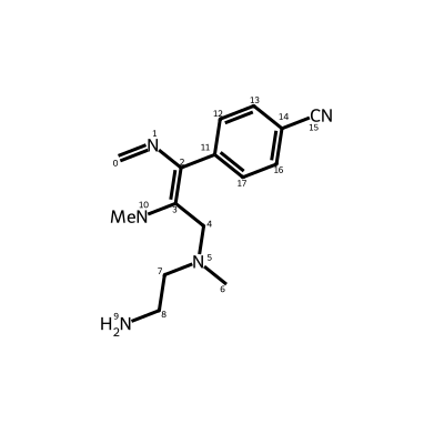 C=N/C(=C(/CN(C)CCN)NC)c1ccc(C#N)cc1